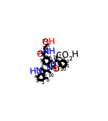 Cc1cccc2[nH]cc(C(C)n3c(=O)n([C@H](CC(=O)O)c4ccccc4)c4cc(C(=O)NCCO)ccc43)c12